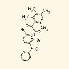 Cc1cc(C)c(C(=O)[PH](=O)c2c(Br)ccc(C(=O)c3ccccc3)c2Br)c(C)c1C